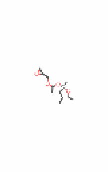 CCC[Si](C)(OCC)OC(C)OCC1CO1